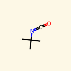 [CH2]C(C)(C)N=C=O